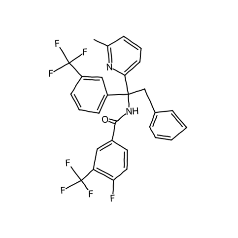 Cc1cccc(C(Cc2ccccc2)(NC(=O)c2ccc(F)c(C(F)(F)F)c2)c2cccc(C(F)(F)F)c2)n1